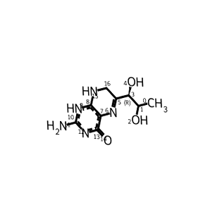 CC(O)[C@H](O)C1=Nc2c([nH]c(N)nc2=O)NC1